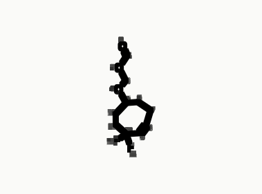 O=COCOC1CCC#CC(F)(F)CC1